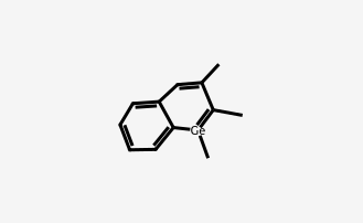 CC1=Cc2cccc[c]2[Ge]([CH3])=[C]1C